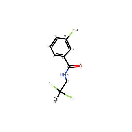 CCC(F)(F)CNC(=O)c1cccc(F)c1